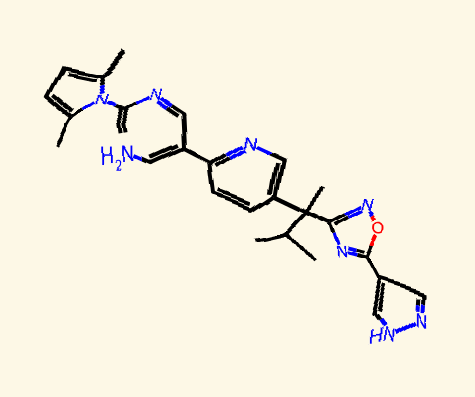 C=C(/N=C\C(=C/N)c1ccc(C(C)(c2noc(-c3cn[nH]c3)n2)C(C)C)cn1)n1c(C)ccc1C